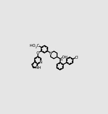 O=C(O)c1ccc(N2CCC([C@@H](O)c3ccccc3-c3ccc(Cl)cc3)CC2)cc1Oc1cnc2[nH]ccc2c1